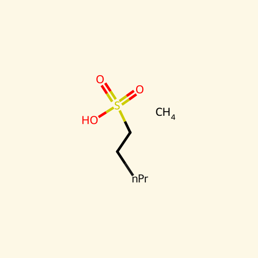 C.CCCCCS(=O)(=O)O